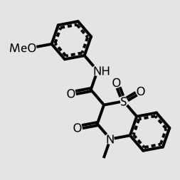 COc1cccc(NC(=O)C2C(=O)N(C)c3ccccc3S2(=O)=O)c1